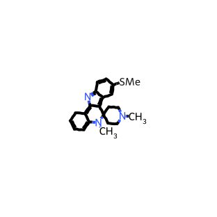 CSc1ccc2c(c1)=C1C(=C3CC=CC=C3N(C)C13CCN(C)CC3)N=2